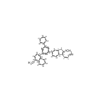 CCC/C=C\C1=C(C)Cc2cc(-c3nc(-c4ccccc4)nc(-c4ccc(C)c5ccccc45)n3)ccc21